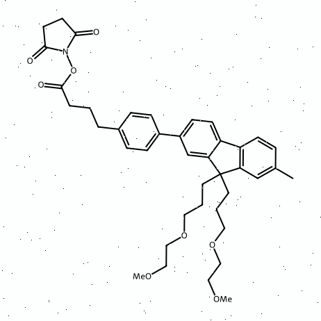 COCCOCCCC1(CCCOCCOC)c2cc(C)ccc2-c2ccc(-c3ccc(CCCC(=O)ON4C(=O)CCC4=O)cc3)cc21